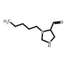 CCCCCN1CNCC1C=O